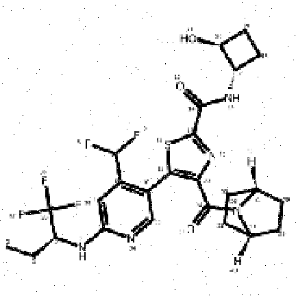 CC[C@H](Nc1cc(C(F)F)c(-c2sc(C(=O)N[C@H]3CC[C@@H]3O)nc2C(=O)N2[C@H]3CC[C@@H]2CC3)cn1)C(F)(F)F